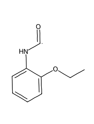 CCOc1ccccc1N[C]=O